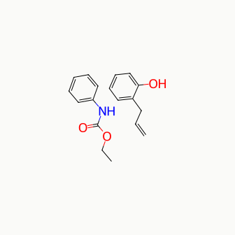 C=CCc1ccccc1O.CCOC(=O)Nc1ccccc1